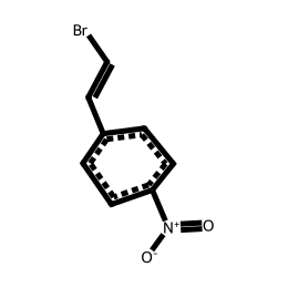 O=[N+]([O-])c1ccc(C=CBr)cc1